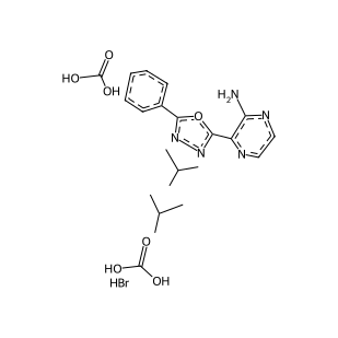 Br.CC(C)C.CC(C)C.Nc1nccnc1-c1nnc(-c2ccccc2)o1.O=C(O)O.O=C(O)O